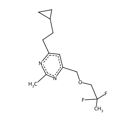 Cc1nc(CCC2CC2)cc(COCC(C)(F)F)n1